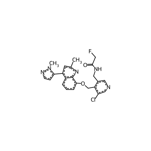 Cc1cc(-c2ccnn2C)c2cccc(OCc3c(Cl)cncc3CNC(=O)CF)c2n1